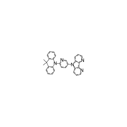 CC1(C)c2ccccc2N(c2ccc(-n3c4cccnc4c4ncccc43)cn2)c2ccccc21